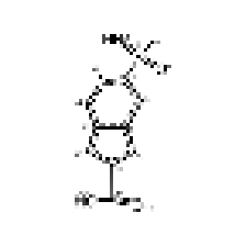 CS(=N)(=O)c1cc2sc(C(=O)O)cc2cn1